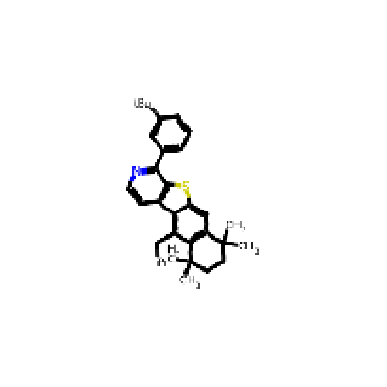 CC(C)Cc1c2c(cc3sc4c(-c5cccc(C(C)(C)C)c5)nccc4c13)C(C)(C)CCC2(C)C